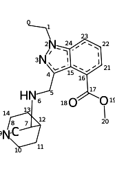 CCn1nc(CNC2CN3CCC2CC3)c2c(C(=O)OC)cccc21